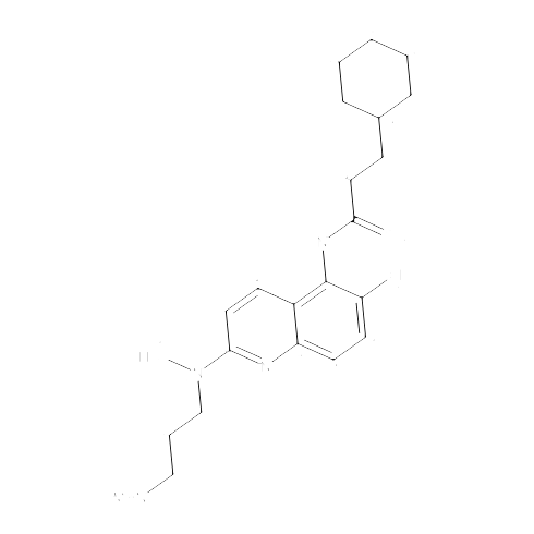 CNCCCN(C)c1ccc2c(NC(=O)CCC3CCCCC3)c(Cl)ccc2n1